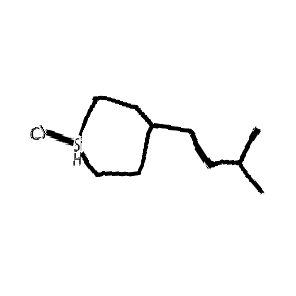 CC(C)CCC1CC[SiH](Cl)CC1